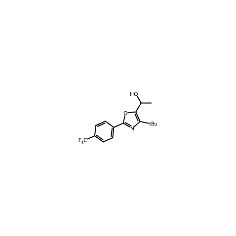 CC(O)c1oc(-c2ccc(C(F)(F)F)cc2)nc1C(C)(C)C